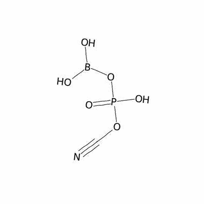 N#COP(=O)(O)OB(O)O